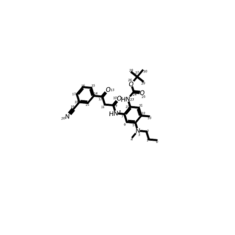 CCCN(C)c1cc(NC(=O)CC(=O)c2cccc(C#N)c2)c(NC(=O)OC(C)(C)C)cc1C